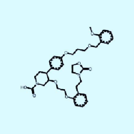 COc1ccccc1COCCCOc1ccc(C2CCN(C(=O)O)CC2OCCOc2ccccc2CCN2CCOC2=O)cc1